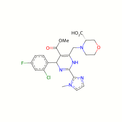 COC(=O)C1=C(CN2CCOC[C@H]2C(=O)O)NC(c2nccn2C)=NC1c1ccc(F)cc1Cl